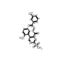 Cc1ccccc1-c1cnc(S(C)(=O)=O)nc1C(=O)OOC(=O)c1cccc(Cl)c1